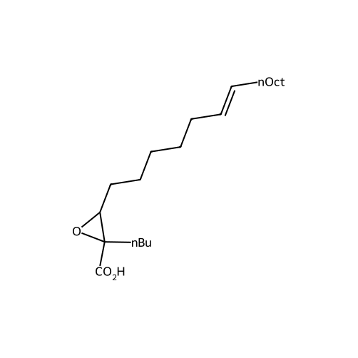 CCCCCCCCC=CCCCCCC1OC1(CCCC)C(=O)O